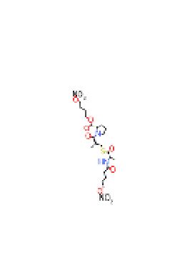 CC(NC(=O)CCCCO[N+](=O)[O-])C(=O)SC[C@@H](C)C(=O)N1CCC[C@H]1C(=O)OCCCCO[N+](=O)[O-]